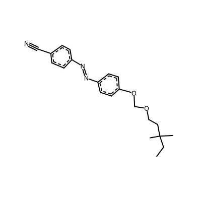 CCC(C)(C)CCOCOc1ccc(N=Nc2ccc(C#N)cc2)cc1